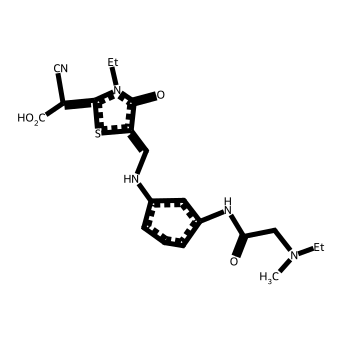 CCN(C)CC(=O)Nc1cccc(NC=c2sc(=C(C#N)C(=O)O)n(CC)c2=O)c1